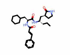 CCC[C@@H](C[C@@H]1CCNC1=O)NC(=O)[C@H](CC1CCCCC1)NC(=O)C=Cc1ccccc1